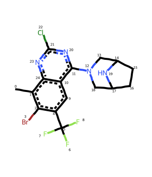 Cc1c(Br)c(C(F)(F)F)cc2c(N3CC4CCC(C3)N4)nc(Cl)nc12